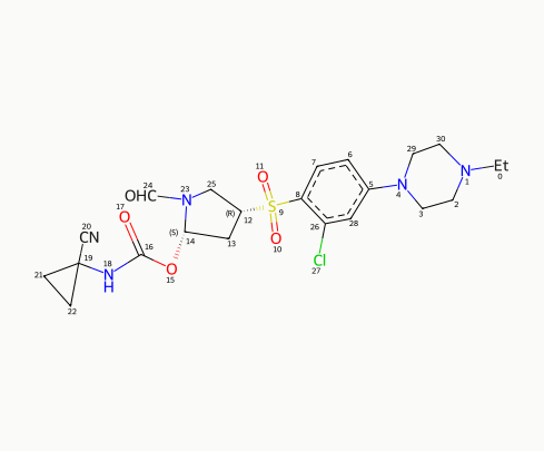 CCN1CCN(c2ccc(S(=O)(=O)[C@@H]3C[C@H](OC(=O)NC4(C#N)CC4)N(C=O)C3)c(Cl)c2)CC1